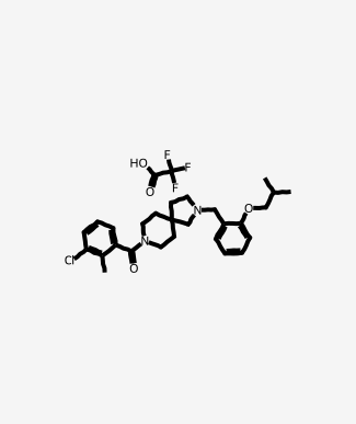 Cc1c(Cl)cccc1C(=O)N1CCC2(CCN(Cc3ccccc3OCC(C)C)C2)CC1.O=C(O)C(F)(F)F